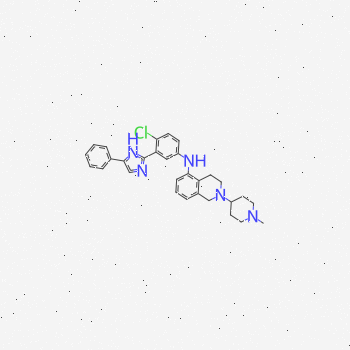 CN1CCC(N2CCc3c(cccc3Nc3ccc(Cl)c(-c4ncc(-c5ccccc5)[nH]4)c3)C2)CC1